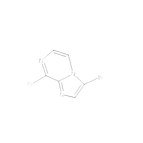 Brc1nccn2c(Br)cnc12